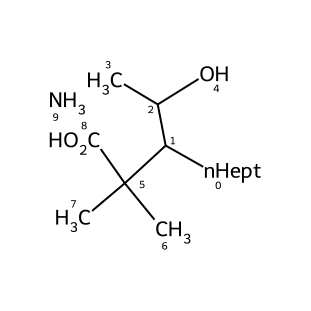 CCCCCCCC(C(C)O)C(C)(C)C(=O)O.N